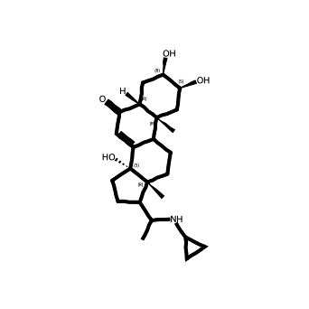 CC(NC1CC1)C1CC[C@@]2(O)C3=CC(=O)[C@@H]4C[C@@H](O)[C@@H](O)C[C@]4(C)C3CC[C@]12C